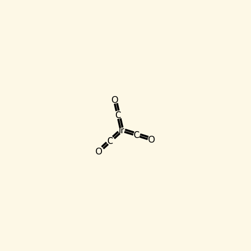 O=[C]=[Ir](=[C]=O)=[C]=O